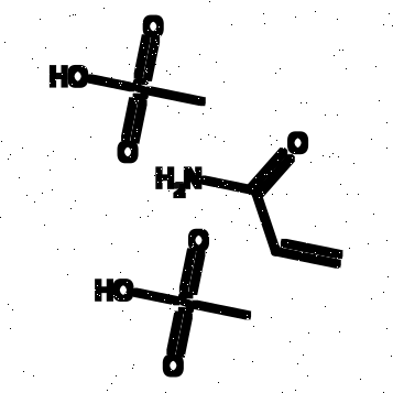 C=CC(N)=O.CS(=O)(=O)O.CS(=O)(=O)O